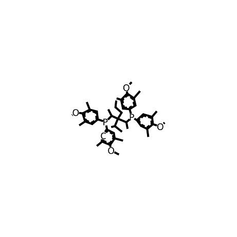 CCCC(C(C)C)(C(C)P(c1cc(C)c(OC)c(C)c1)c1cc(C)c(OC)c(C)c1)C(C)P(c1cc(C)c(OC)c(C)c1)c1cc(C)c(OC)c(C)c1